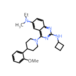 CCN(C)c1ccc2nc(NC3CCC3)nc(N3CCC(c4ccccc4OC)CC3)c2c1